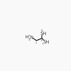 NCC(S)S